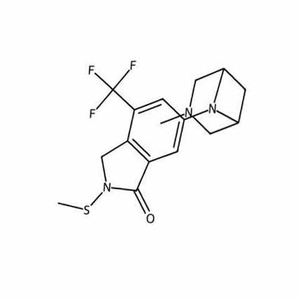 CSN1Cc2c(cc(N3C4CC3CN(C)C4)cc2C(F)(F)F)C1=O